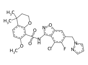 COc1ccc2c(c1S(=O)(=O)Nc1noc3cc(Cn4cccn4)c(F)c(Cl)c13)OCCC2(C)C